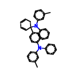 Cc1cccc(N(c2ccccc2)c2ccc(C3(N(c4ccccc4)c4cccc(C)c4)C=CC=CC3)cc2)c1